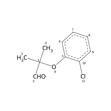 CC(C)([C]=O)Oc1ccccc1Cl